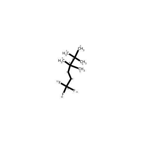 CC(C)(C)C(C)(C)CCC(F)(F)F